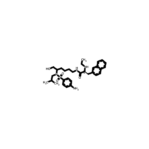 CCN[C@@H](Cc1ccc2ccccc2c1)C(=O)NCCCCC(CO)N(CC(C)C)S(=O)(=O)c1ccc(N)cc1